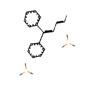 CCP(CC)CC.CCP(CC)CC.[Cl-].[Cl-].[Zr+2][CH]=CC=C(c1ccccc1)c1ccccc1